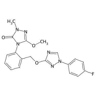 COc1nn(C)c(=O)n1-c1ccccc1COc1ncn(-c2ccc(F)cc2)n1